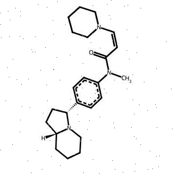 CN(C(=O)/C=C\N1CCCCC1)c1ccc([C@H]2CC[C@H]3CCCCN32)cc1